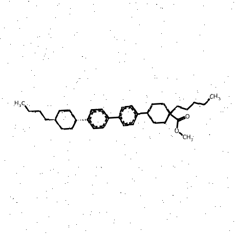 CCCCCC1(C(=O)OC)CCC(c2ccc(-c3ccc([C@H]4CC[C@H](CCCC)CC4)cc3)cc2)CC1